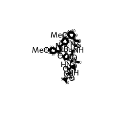 C=C[C@@H]1C[C@]1(NC(=O)[C@@H]1C[C@@H](Oc2cc(-c3ccccc3)nc3cc(OC)ccc23)CN1C(=O)[C@@H](Nc1nc(-c2cccc(OC)c2)cs1)C(C)(C)C)C(=O)NS(=O)(=O)C1CC1